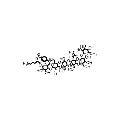 CC(=O)N[C@H]1C(O[C@@H]2OC(CO)[C@H](O)C(O)[C@@H]2O[C@@H]2OC(C)[C@@H](O)C(O)[C@@H]2O)[C@@H](O)C(CO)O[C@H]1O[C@@H]1C(O)[C@@H](O[C@H]2C(CO)O[C@@H](O[C@@H]3C(COc4ccc([N+](=O)[O-])cc4)O[C@@H](OCCCCCN)[C@@H](O)C3O)[C@@H](O)C2O)OC(CO)[C@@H]1O